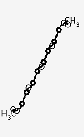 CC(=O)OCCc1ccc(C#Cc2ccc(OCc3ccc(C#Cc4ccc(COc5ccc(C#Cc6ccc(COc7ccc(C#Cc8ccc(CCOC(C)=O)cc8)cc7)cc6)cc5)cc4)cc3)cc2)cc1